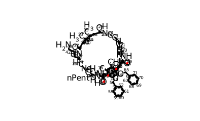 CCCCC[C@H]1CN2CCNC(=O)c3ccc(c(C)c3C)C(=O)NCCN(CCNC(=O)c3ccc(c(C)c3C)C(=O)N[C@@H](CCCN)C2)CCNC(=O)c2ccc(c(OCc3ccccc3)c2OCc2ccccc2)C(=O)N1